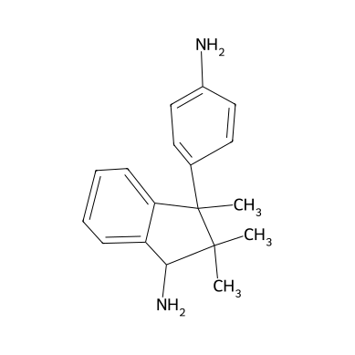 CC1(c2ccc(N)cc2)c2ccccc2C(N)C1(C)C